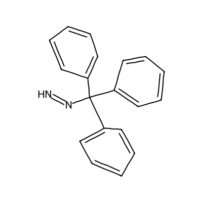 N=NC(c1ccccc1)(c1ccccc1)c1ccccc1